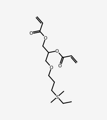 C=CC(=O)OCC(COCCCS(C)(C)CC)OC(=O)C=C